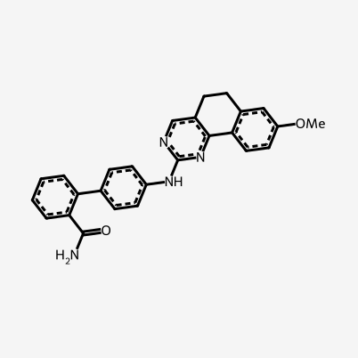 COc1ccc2c(c1)CCc1cnc(Nc3ccc(-c4ccccc4C(N)=O)cc3)nc1-2